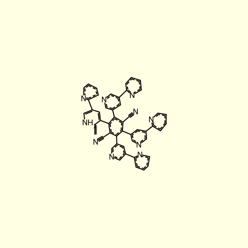 C=C/C(=C\C(=C/N)c1ccccn1)c1c(C#N)c(-c2cncc(-c3ccccn3)c2)c(-c2cncc(-c3ccccn3)c2)c(C#N)c1-c1cncc(-c2ccccn2)c1